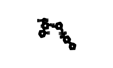 O=S(=O)(NCc1cccc(CNc2cc(-c3ccccc3Cl)nc3c(Br)cnn23)c1)c1ccc(-c2ccccc2)cc1